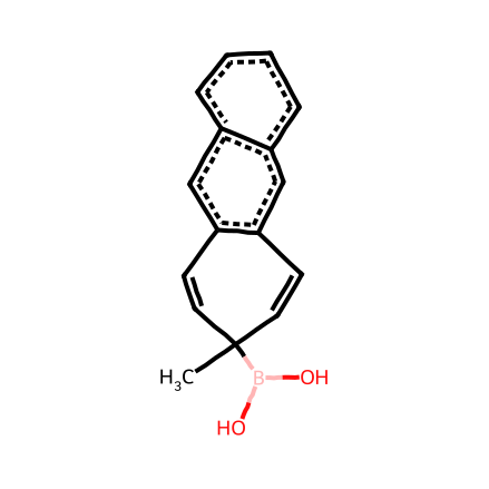 CC1(B(O)O)C=Cc2cc3ccccc3cc2C=C1